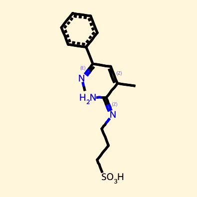 C\N=C(/C=C(C)\C(N)=N\CCCS(=O)(=O)O)c1ccccc1